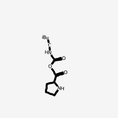 CCC(C)CNC(=O)OC(=O)C1CCCN1